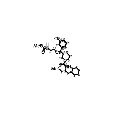 CNC[C@H](CC1CCCCC1)NC(=S)N1CCC[C@@H]([C@@H](OCCNC(=O)OC)c2cccc(Cl)c2)C1